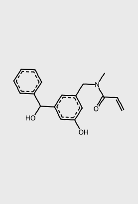 C=CC(=O)N(C)Cc1cc(O)cc(C(O)c2ccccc2)c1